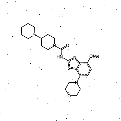 COc1ccc(N2CCOCC2)c2sc(NC(=O)N3CCC(N4CCCCC4)CC3)nc12